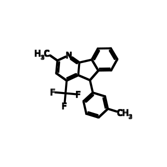 Cc1cccc(C2c3ccccc3-c3nc(C)cc(C(F)(F)F)c32)c1